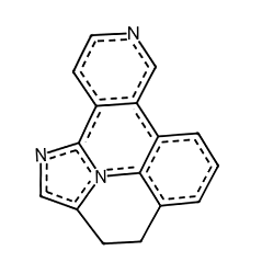 c1cc2c3c(c1)c1cnccc1c1ncc(n13)CC2